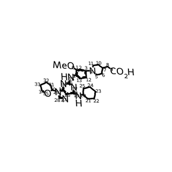 COc1cc(N2CCC(CC(=O)O)CC2)ccc1Nc1nc(NC2CCCCC2)c2ncn(C3CCCCO3)c2n1